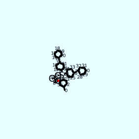 Cc1ccc(S(OS(C)(=O)=O)(c2ccc(-c3ccccc3)cc2)c2ccc(-c3ccccc3)cc2)cc1